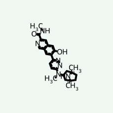 CNC(=O)c1cc2cc(O)c(-c3ccc(N(C)C4C[C@]5(C)CC[C@](C)(C4)N5)nn3)cc2cn1